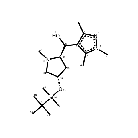 Cc1nn(C)c(C)c1C(O)[C@H]1C[C@H](O[Si](C)(C)C(C)(C)C)CN1C